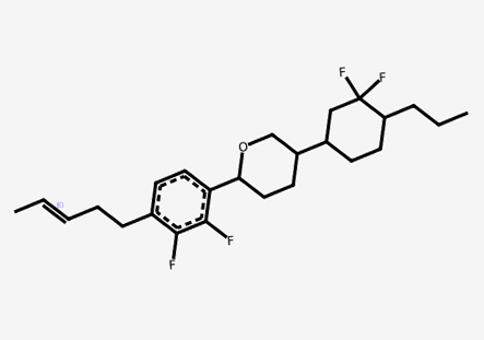 C/C=C/CCc1ccc(C2CCC(C3CCC(CCC)C(F)(F)C3)CO2)c(F)c1F